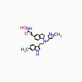 Cc1ccc2c(CCN(Cc3cnn(C)c3)C3CCc4cc(/C=C/C(=O)NO)ccc43)c[nH]c2c1